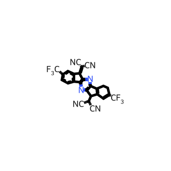 N#CC(C#N)=C1c2cc(C(F)(F)F)ccc2-c2nc3c(nc21)C1=C(C=C(C(F)(F)F)CC1)C3C(C#N)C#N